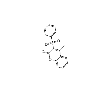 Cc1c(S(=O)(=O)c2ccccc2)c(=O)oc2ccccc12